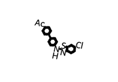 CC(=O)c1ccc(-c2ccc(Nc3nc4ccc(Cl)cc4s3)cc2)cc1